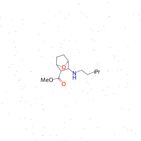 COC(=O)C1C2CCC(O2)C1NCCC(C)C